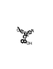 C=CC(=O)N1CCN(c2nc(N3CCC(N(C)C)CC3)nc3c2CCN(c2cc(O)cc4ccccc24)C3)CC1